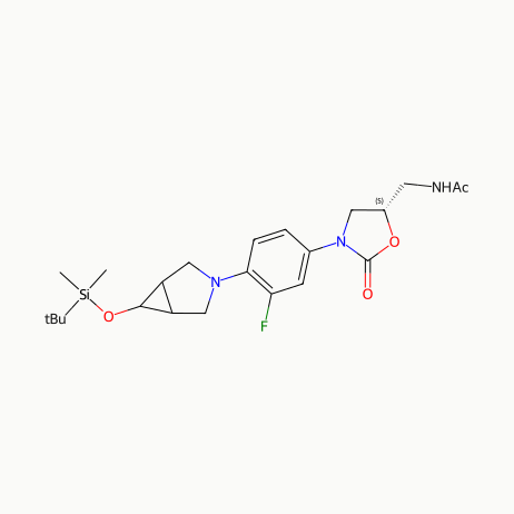 CC(=O)NC[C@H]1CN(c2ccc(N3CC4C(C3)C4O[Si](C)(C)C(C)(C)C)c(F)c2)C(=O)O1